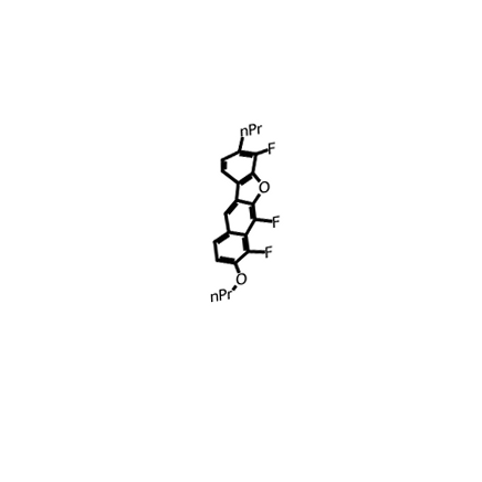 CCCOc1ccc2cc3c(oc4c(F)c(CCC)ccc43)c(F)c2c1F